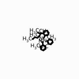 CCCC[C@@]1(C)[n+]2nc(-c3ccccc3C)n(-c3c(C)cccc3C)c2-c2ccccc2C1(C)CC